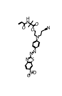 C=CC(=O)NC(C)(C)C(=O)OCCN(CCC#N)c1ccc(N=Nc2nc3ccc([N+](=O)[O-])cc3s2)cc1